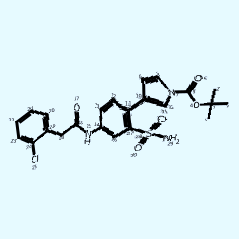 CC(C)(C)OC(=O)n1ccc(-c2ccc(NC(=O)Cc3ccccc3Cl)cc2S(N)(=O)=O)c1